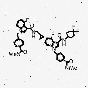 CNC(=O)c1ccc(Cn2cc(C(=O)NC3CCC(F)(F)CC3)c3c(F)cccc32)cc1.CNC(=O)c1ccc(Cn2cc(C(=O)NCC3CC3)c3c(F)cccc32)cc1